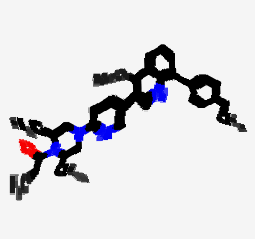 C=Cc1ccc(-c2cccc3c(OC)c(-c4ccc(N5CC(C)N(C(=O)CC(F)(F)F)C(C)C5)nc4)cnc23)cc1